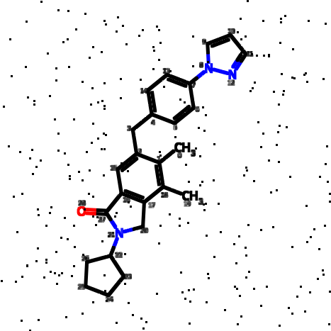 Cc1c(Cc2ccc(-n3cccn3)cc2)cc2c(c1C)CN(C1CCCC1)C2=O